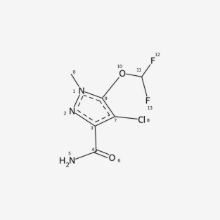 Cn1nc(C(N)=O)c(Cl)c1OC(F)F